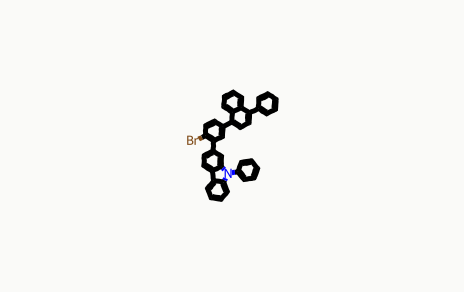 Brc1ccc(-c2ccc(-c3ccccc3)c3ccccc23)cc1-c1ccc2c3ccccc3n(-c3ccccc3)c2c1